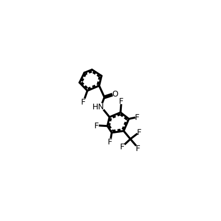 O=C(Nc1c(F)c(F)c(C(F)(F)F)c(F)c1F)c1ccccc1F